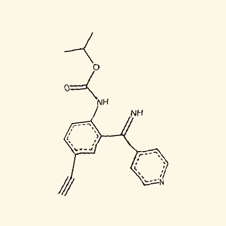 C#Cc1ccc(NC(=O)OC(C)C)c(C(=N)c2ccncc2)c1